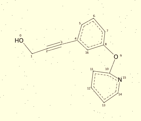 OCC#Cc1cccc(Oc2ccccn2)c1